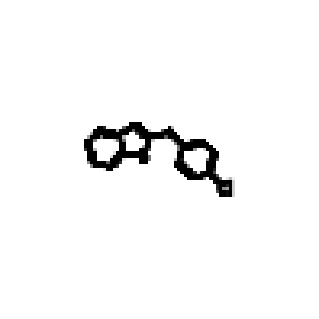 Clc1ccc([CH]c2cc3ccccc3s2)cc1